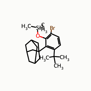 C[SiH](C)Oc1c(Br)ccc(C(C)(C)C)c1C12CC3CC(CC(C3)C1)C2